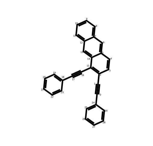 C(#Cc1ccc2cc3ccccc3cc2c1C#Cc1ccccc1)c1ccccc1